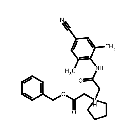 Cc1cc(C#N)cc(C)c1NC(=O)C[PH]1(CC(=O)OCc2ccccc2)CCCC1